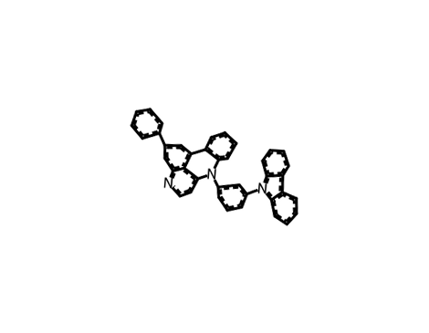 c1ccc(-c2cc3c4c(ccnc4c2)N(c2cccc(-n4c5ccccc5c5ccccc54)c2)c2ccccc2-3)cc1